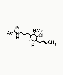 C/C=C/CC(C)C(O)C(NC)C(=O)CCCN[C@@H](C(C)=O)C(C)C